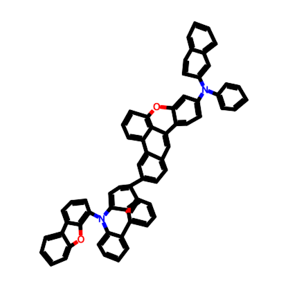 c1ccc(-c2ccccc2N(c2ccc(-c3ccc4cc5c6c(cccc6c4c3)Oc3cc(N(c4ccccc4)c4ccc6ccccc6c4)ccc3-5)cc2)c2cccc3c2oc2ccccc23)cc1